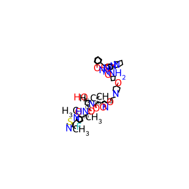 COc1nc(-c2scnc2C)c(F)cc1[C@@H](C)NC(=O)[C@@H]1C[C@@H](O)CN1C(=O)[C@@H](c1cc(OCCN2CCC(O[C@H]3C[C@H](Oc4cc(N5C6CCC5CN(c5cc(-c7ccccc7O)nnc5N)C6)ccn4)C3)CC2)no1)C(C)C